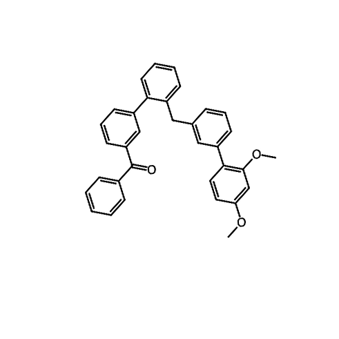 COc1ccc(-c2cccc(Cc3ccccc3-c3cccc(C(=O)c4ccccc4)c3)c2)c(OC)c1